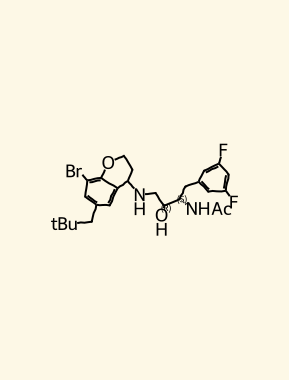 CC(=O)N[C@@H](Cc1cc(F)cc(F)c1)[C@H](O)CNC1CCOc2c(Br)cc(CC(C)(C)C)cc21